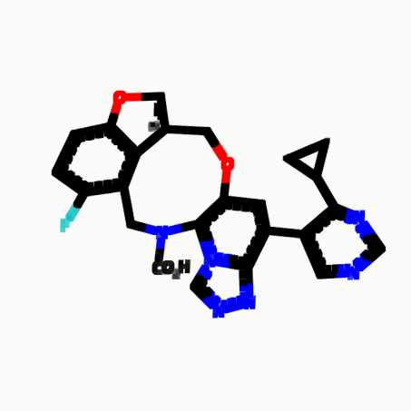 O=C(O)N1Cc2c(F)ccc3c2[C@@H](CO3)COc2cc(-c3cncnc3C3CC3)c3nncn3c21